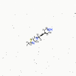 CC(C)(C)c1nc2c(s1)CN(C(C)(C)C#CC1CCNCC1)C2